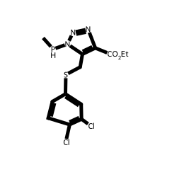 CCOC(=O)c1nnn(PC)c1CSc1ccc(Cl)c(Cl)c1